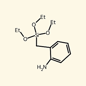 CCO[Si](Cc1ccccc1N)(OCC)OCC